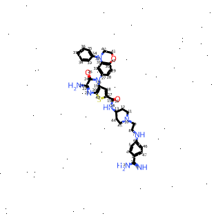 N=C(N)c1ccc(NCCN2CCC(NC(=O)c3cc4c(nc(N)c(=O)n4-c4ccc5c(c4)N(c4ccccc4)CCO5)s3)CC2)cc1